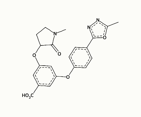 Cc1nnc(-c2ccc(Oc3cc(OC4CCN(C)C4=O)cc(C(=O)O)c3)cc2)o1